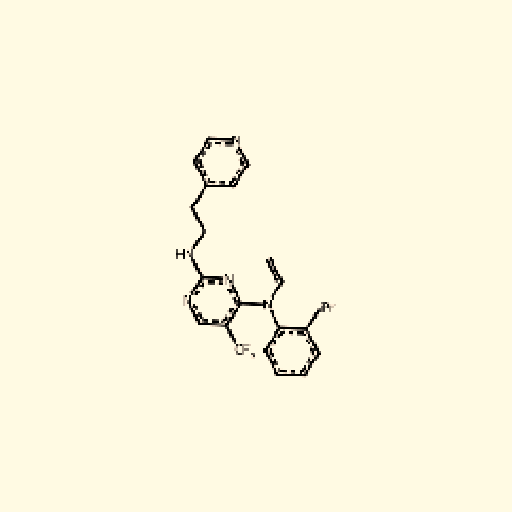 C=CN(c1ccccc1C(C)C)c1nc(NCCc2ccncc2)ncc1C(F)(F)F